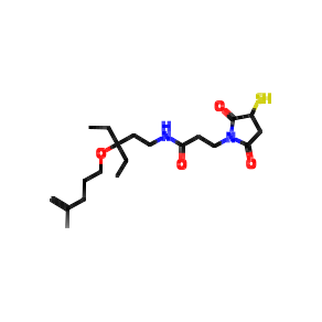 C=C(C)CCCOC(CC)(CC)CCNC(=O)CCN1C(=O)CC(S)C1=O